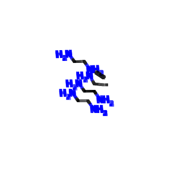 C=C.NCCN.NCCN.NCCN.[CH2]CN